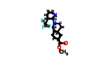 COC(=O)c1ccc2c(c1)CCN(c1ncccc1C(F)(F)F)C2